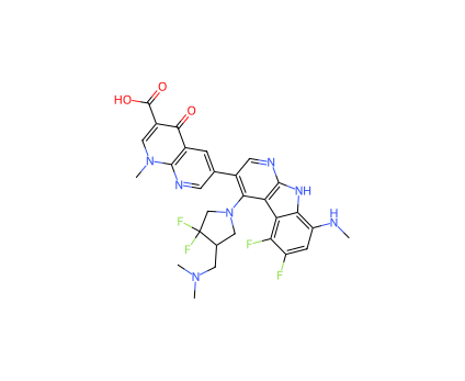 CNc1cc(F)c(F)c2c1[nH]c1ncc(-c3cnc4c(c3)c(=O)c(C(=O)O)cn4C)c(N3CC(CN(C)C)C(F)(F)C3)c12